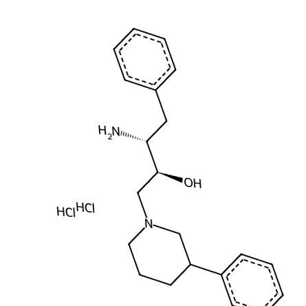 Cl.Cl.N[C@H](Cc1ccccc1)[C@@H](O)CN1CCCC(c2ccccc2)C1